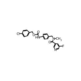 CN(Cc1ccc(NC(=O)OCc2ccc(Cl)cc2)cc1)C(=O)c1cncc(F)c1